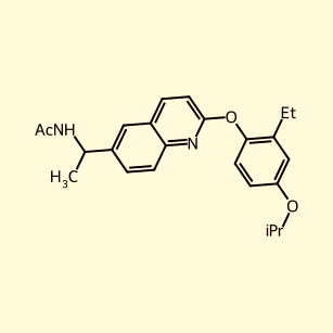 CCc1cc(OC(C)C)ccc1Oc1ccc2cc(C(C)NC(C)=O)ccc2n1